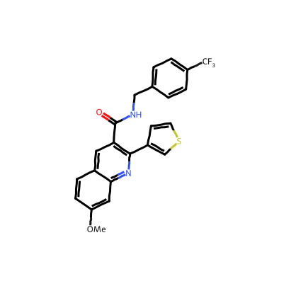 COc1ccc2cc(C(=O)NCc3ccc(C(F)(F)F)cc3)c(-c3ccsc3)nc2c1